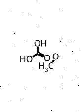 C[O].O=C(O)O